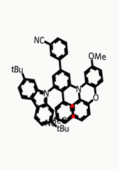 COc1ccc2c(c1)N(c1cc(-c3cccc(C#N)c3)cc(-n3c4cc(C(C)(C)C)ccc4c4ccc(C(C)(C)C)cc43)c1-c1cccc(C#N)c1)c1cc(OC)ccc1O2